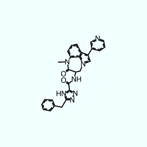 CN1C(=O)C(NC(=O)c2nnc(Cc3ccccc3)[nH]2)Cn2cc(-c3cccnc3)c3cccc1c32